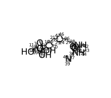 Cc1ccc([C@@]23OC[C@@](C(C)(C)O)(C[C@H](O)[C@H]2O)O3)cc1Cc1ccc(CCCC(=O)NC2(C(=O)NCCN(C)C)CCCCC2)cc1